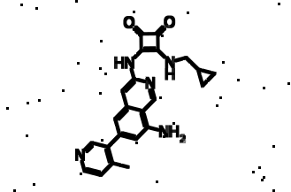 Cc1ccncc1-c1cc(N)c2cnc(Nc3c(NCC4CC4)c(=O)c3=O)cc2c1